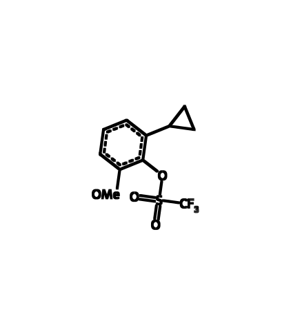 COc1cccc(C2CC2)c1OS(=O)(=O)C(F)(F)F